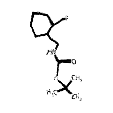 CC(C)(C)OC(=O)NCC1CCCCC1F